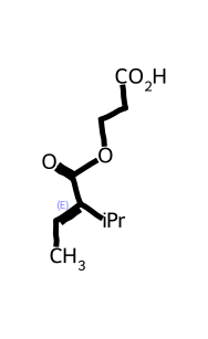 C/C=C(/C(=O)OCCC(=O)O)C(C)C